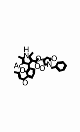 CC(=O)C1=C(C)NC(C)=C(C(=O)O[C@H]2CC(=O)N(Cc3ccccc3)C2=O)C1c1cccc2c(=O)cc(C)oc12